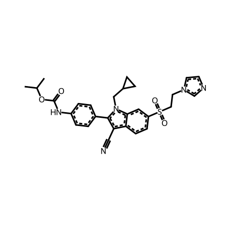 CC(C)OC(=O)Nc1ccc(-c2c(C#N)c3ccc(S(=O)(=O)CCn4ccnc4)cc3n2CC2CC2)cc1